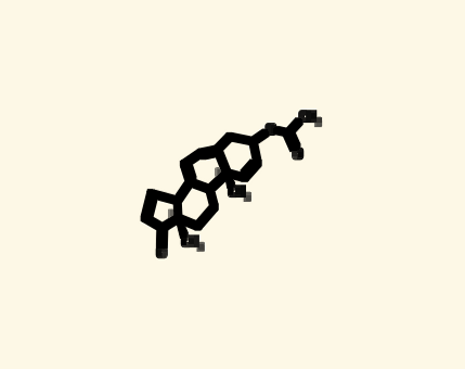 CC(=O)OC1C=C[C@@]2(C)C(=CC=C3C2CC[C@]2(C)C(=O)C=CC32)C1